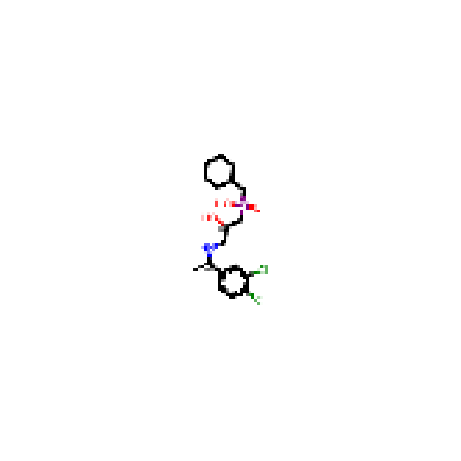 C[C@@H](NC[C@@H](O)CP(=O)(O)CC1CCCCC1)c1ccc(Cl)c(Cl)c1